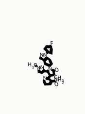 CC1C(=O)N(c2ccc3c(cnn3-c3ccc(F)cc3)c2)C(c2ccn(C)n2)C1c1ncccc1C(N)=O